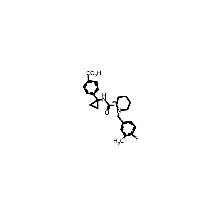 Cc1cc(CN2CCCC[C@@H]2C(=O)NC2(c3ccc(C(=O)O)cc3)CC2)ccc1F